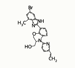 C=Cc1ccc(N2c3cccc(-c4nc5c(C)cc(Br)cc5[nH]4)c3OCC2CO)nc1